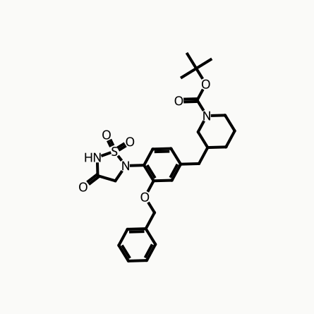 CC(C)(C)OC(=O)N1CCCC(Cc2ccc(N3CC(=O)NS3(=O)=O)c(OCc3ccccc3)c2)C1